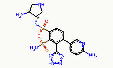 Nc1ccc(-c2ccc(S(=O)(=O)N[C@@H]3CNC[C@@H]3N)c(S(N)(=O)=O)c2-c2nn[nH]n2)cn1